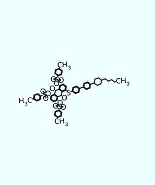 CCCCCC1CCC(c2ccc(-c3ccc(Sc4ccc(OS(=O)(=O)c5ccc(C)cc5)c5c4C(=O)c4c(OS(=O)(=O)c6ccc(C)cc6)ccc(OS(=O)(=O)c6ccc(C)cc6)c4C5=O)cc3)cc2)CC1